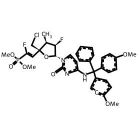 COc1ccc(C(Nc2ccn([C@@H]3O[C@@](/C=C(\F)P(=O)(OC)OC)(CCl)[C@@H](C)[C@H]3F)c(=O)n2)(c2ccccc2)c2ccc(OC)cc2)cc1